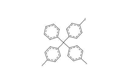 Cc1ccc(C(c2ccccc2)(c2ccc(C)cc2)c2ccc(I)cc2)cc1